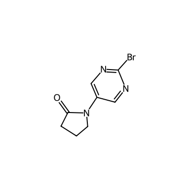 O=C1CCCN1c1cnc(Br)nc1